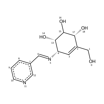 OCC1=C[C@H](/N=C/c2cccnc2)[C@H](O)C(O)[C@@H]1O